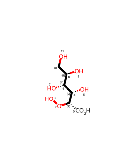 O=C(O)[C@H](OO)[C@@H](O)[C@H](O)[C@H](O)CO